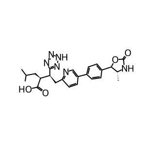 CC(C)C[C@H](C(=O)O)[C@H](Cc1ccc(-c2ccc(C3OC(=O)N[C@@H]3C)cc2)cn1)c1nn[nH]n1